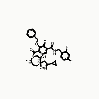 C[C@H]1CC[C@]2(CC(C3CC3)=NO2)[C@H]2CN1C(=O)c1c(OCc3ccccc3)c(=O)c(C(=O)NCc3ccc(F)cc3F)cn12